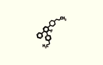 CCCC1CCC(c2ccc(-c3ccccc3)c(-c3ccc(CC)cc3)c2F)CC1